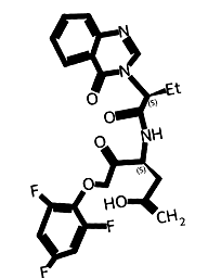 C=C(O)C[C@H](NC(=O)[C@H](CC)n1cnc2ccccc2c1=O)C(=O)COc1c(F)cc(F)cc1F